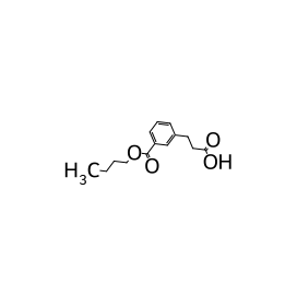 CCCCOC(=O)c1cccc(CCC(=O)O)c1